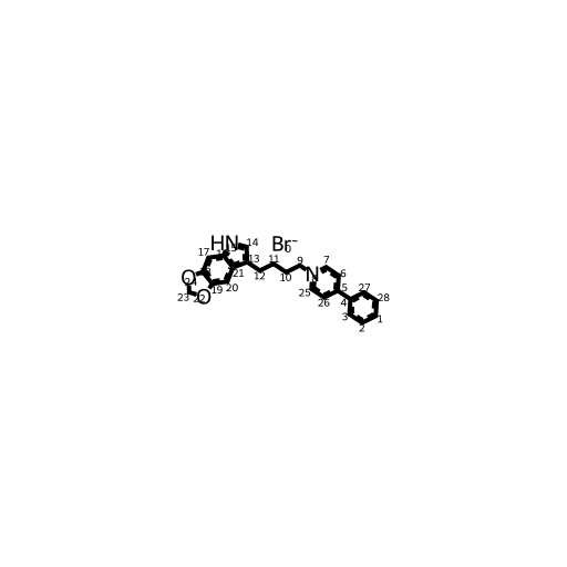 [Br-].c1ccc(-c2cc[n+](CCCCc3c[nH]c4cc5c(cc34)OCO5)cc2)cc1